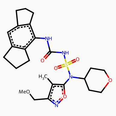 COCc1noc(N(C2CCOCC2)S(=O)(=O)NC(=O)Nc2c3c(cc4c2CCC4)CCC3)c1C